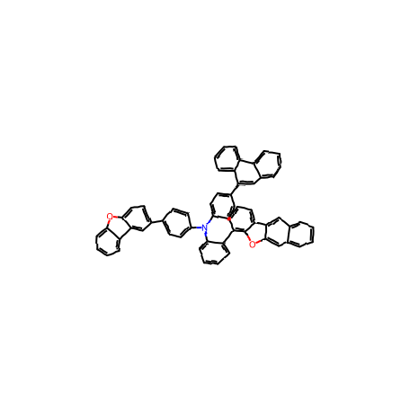 c1ccc(N(c2ccc(-c3ccc4oc5ccccc5c4c3)cc2)c2ccc(-c3cc4ccccc4c4ccccc34)cc2)c(-c2cccc3c2oc2cc4ccccc4cc23)c1